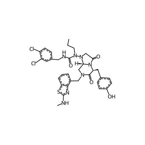 CCCN(C(=O)NCc1ccc(Cl)c(Cl)c1)N1CC(=O)N2[C@@H](Cc3ccc(O)cc3)C(=O)N(Cc3cccc4sc(NC)nc34)C[C@@H]21